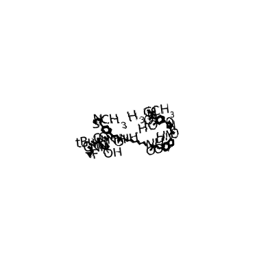 Cc1ncsc1-c1ccc(C(CC(=O)NCCCCCCCNC(=O)COc2ccc3c(c2)[C@H](NC(=O)c2cc(-c4ccc(C(=O)N(C)C)c(O)c4)on2)CC3)NC(=O)[C@@H]2C[C@@H](O)CN2C(=O)C(NC(=O)C2(F)CC2)C(C)(C)C)cc1